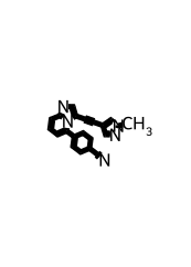 Cn1cc(C#Cc2cnc3cccc(C4=CCC(C#N)CC4)n23)cn1